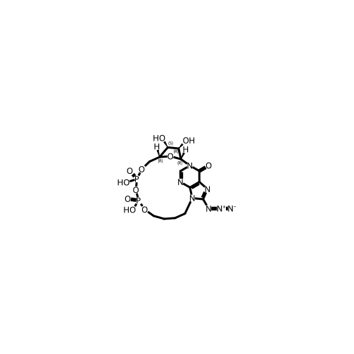 [N-]=[N+]=Nc1nc2c(=O)n3cnc2n1CCCCOP(=O)(O)OP(=O)(O)OC[C@H]1O[C@@H]3[C@H](O)[C@@H]1O